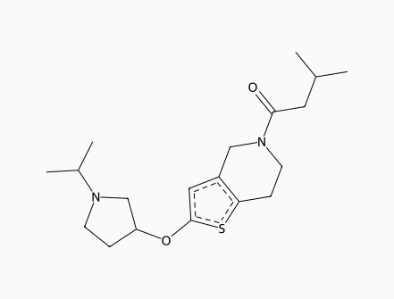 CC(C)CC(=O)N1CCc2sc(OC3CCN(C(C)C)C3)cc2C1